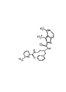 Cc1cccc(C(=O)NCCC(Cc2ccccc2)NC(=O)c2nn3cccc(C)c3c2C)n1